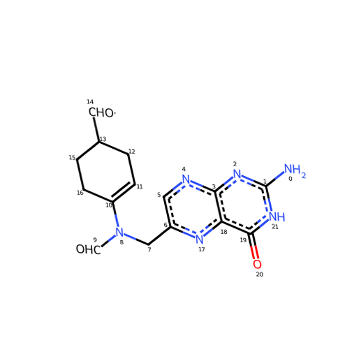 Nc1nc2ncc(CN(C=O)C3=CCC([C]=O)CC3)nc2c(=O)[nH]1